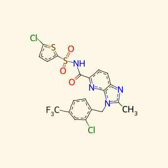 Cc1nc2ccc(C(=O)NS(=O)(=O)c3ccc(Cl)s3)nc2n1Cc1ccc(C(F)(F)F)cc1Cl